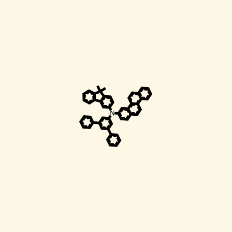 CC1(C)c2ccccc2-c2cc(N(c3cc(-c4ccccc4)cc(-c4ccccc4)c3)c3ccc4ccc5c6ccccc6ccc5c4c3)ccc21